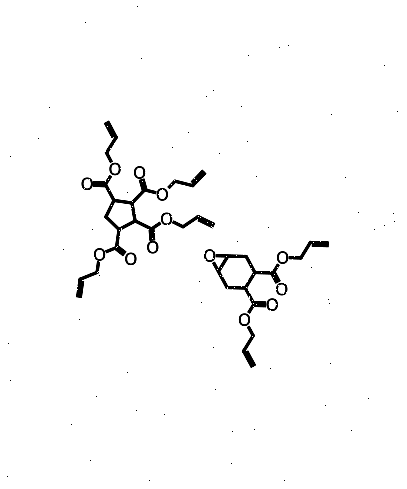 C=CCOC(=O)C1CC(C(=O)OCC=C)C(C(=O)OCC=C)C1C(=O)OCC=C.C=CCOC(=O)C1CC2OC2CC1C(=O)OCC=C